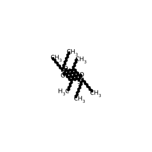 CCCCCCCCCCC(CCCCCCCC)Cn1c(=O)c2cc3cc(CCCCCC)c4cc5c(=S)n(CC(CCCCCCCC)CCCCCCCCCC)c(=O)c6cc7cc(CCCCCC)c8cc(c1=O)c2c1c3c4c(c65)c7c81